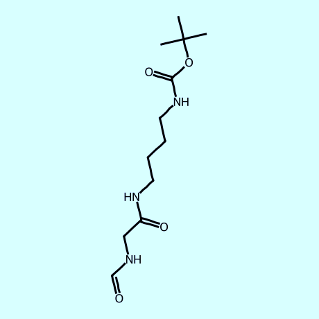 CC(C)(C)OC(=O)NCCCCNC(=O)CNC=O